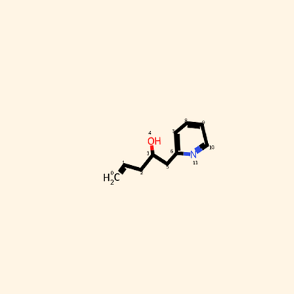 C=CCC(O)Cc1ccccn1